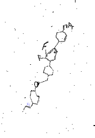 C/C=C/C1CCC(OCC2CCC(c3ccc(C4C=CC(CCC)CC4)c(F)c3F)CC2)CC1